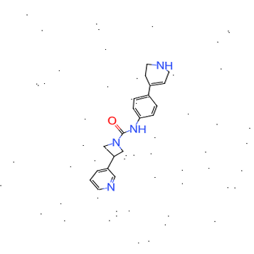 O=C(Nc1ccc(C2=CCNCC2)cc1)N1CC(c2cccnc2)C1